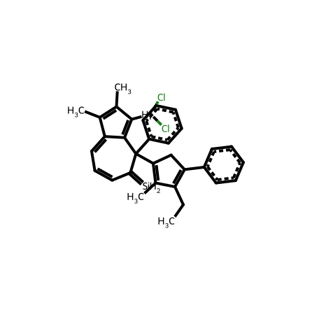 CCC1=C(c2ccccc2)CC(C2(c3ccccc3)C(=[SiH2])C=CC=C3C(C)=C(C)[C]([Hf]([Cl])[Cl])=C32)=C1C